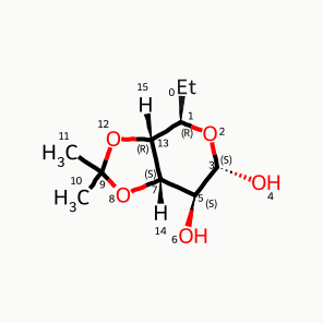 CC[C@H]1O[C@H](O)[C@@H](O)[C@@H]2OC(C)(C)O[C@@H]21